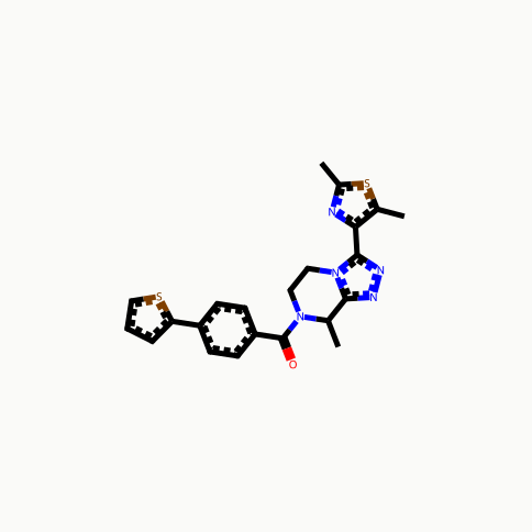 Cc1nc(-c2nnc3n2CCN(C(=O)c2ccc(-c4cccs4)cc2)C3C)c(C)s1